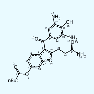 CCCCC(=O)Oc1ccc2c(C(=O)c3cc(N)c(O)c(N)c3)c(CCC(N)=O)oc2c1